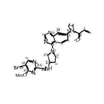 C=CC(=O)Nc1ccc2c(N3CCC(Nc4ncc(Br)c(OC)n4)C3)ncnc2c1